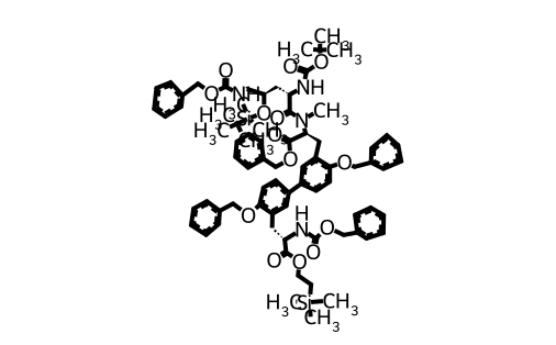 CN(C(=O)[C@H](C[C@H](CNC(=O)OCc1ccccc1)O[Si](C)(C)C(C)(C)C)NC(=O)OC(C)(C)C)[C@@H](Cc1cc(-c2ccc(OCc3ccccc3)c(C[C@H](NC(=O)OCc3ccccc3)C(=O)OCC[Si](C)(C)C)c2)ccc1OCc1ccccc1)C(=O)OCc1ccccc1